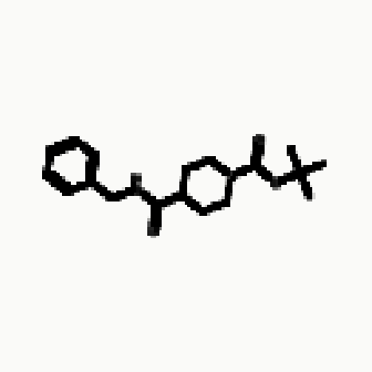 CC(C)(C)OC(=O)N1CCC(C(=O)NCc2ccccc2)CC1